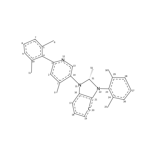 Cc1cc(-c2c(C)cccc2C)ncc1N1c2ccccc2N(c2c(C)cccc2C)[C@H]1C